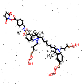 CN(CC1CCC(C(=O)ON2C(=O)CCC2=O)CC1)S(=O)(=O)c1ccc2c(c1)C(C)(C)C(/C=C/C=C/C=C/C=C1/N(CCCSOOO)c3ccc(SOOO)cc3C1(C)C)=[N+]2CCCSOOO